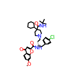 COc1ccc2c(=O)cc(C(=O)N[C@H](CCN3CCC(C(=O)NC(C)(C)C)(C4CCCCC4)CC3)Cc3ccc(Cl)cc3)oc2c1